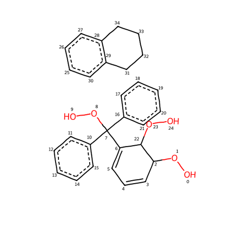 OOC1C=CC=C(C(OO)(c2ccccc2)c2ccccc2)C1OO.c1ccc2c(c1)CCCC2